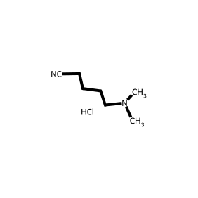 CN(C)CCCCC#N.Cl